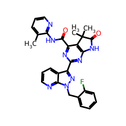 Cc1cccnc1NC(=O)c1nc(-c2nn(Cc3ccccc3F)c3ncccc23)nc2c1C(C)(C)C(=O)N2